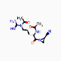 CC(=O)N[C@@H](CCCN(C(=N)N)C(C)=O)C(=O)N1CC1C#N